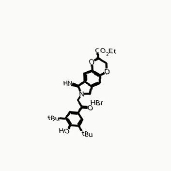 Br.CCOC(=O)C1COc2cc3c(cc2O1)C(=N)N(CC(=O)c1cc(C(C)(C)C)c(O)c(C(C)(C)C)c1)C3